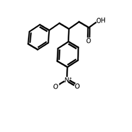 O=C(O)CC(Cc1ccccc1)c1ccc([N+](=O)[O-])cc1